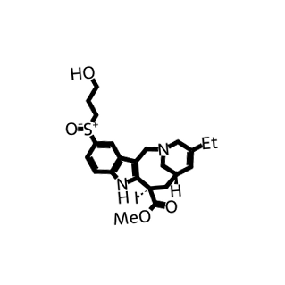 CCC1=C[C@H]2CN(C1)Cc1c([nH]c3ccc([S+]([O-])CCCO)cc13)[C@](I)(C(=O)OC)C2